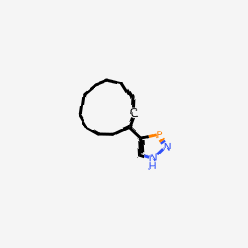 c1[nH]npc1C1CCCCCCCCCC1